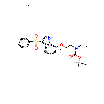 CN(CCOc1cccc2c(S(=O)(=O)c3ccccc3)c[nH]c12)C(=O)OC(C)(C)C